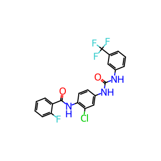 O=C(Nc1cccc(C(F)(F)F)c1)Nc1ccc(NC(=O)c2ccccc2F)c(Cl)c1